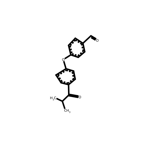 CC(C)C(=O)c1ccc(Oc2ccc(C=O)cc2)cc1